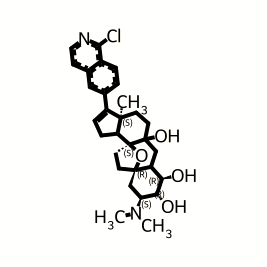 CN(C)[C@H]1C[C@@]23CC[C@]4(O2)C2CC=C(c5ccc6c(Cl)nccc6c5)[C@@]2(C)CCC4(O)CC3[C@@H](O)[C@@H]1O